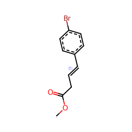 COC(=O)C/C=C/c1ccc(Br)cc1